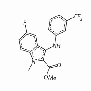 COC(=O)c1c(Nc2cccc(C(F)(F)F)c2)c2cc(F)ccc2n1C